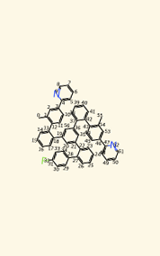 Cc1cc(-c2ccccn2)ccc1-c1ccccc1-c1cc(-c2ccccc2-c2ccc(F)cc2)cc(-c2ccccc2-c2ccc(-c3ccccn3)cc2C)c1